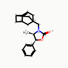 C[C@@H]1[C@H](c2ccccc2)OC(=O)N1CC12CC=C3C(CC3C1)C2